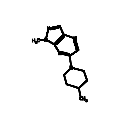 CC1CCN(c2cnc3cnn(C)c3n2)CC1